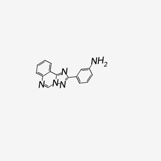 Nc1cccc(-c2nc3c4ccccc4ncn3n2)c1